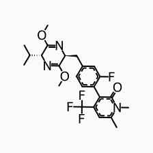 COC1=N[C@H](C(C)C)C(OC)=N[C@H]1Cc1ccc(-c2c(C(F)(F)F)cc(C)n(C)c2=O)c(F)c1